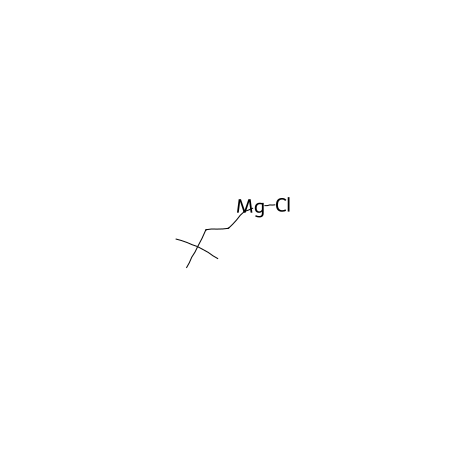 CC(C)(C)CC[CH2][Mg][Cl]